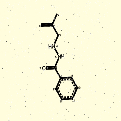 C=C(C)CNNC(=O)c1ccccc1